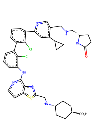 O=C1CC[C@@H](CNCc2cnc(-c3cccc(-c4cccc(Nc5nccc6sc(CN[C@H]7CC[C@H](C(=O)O)CC7)nc56)c4Cl)c3Cl)cc2C2CC2)N1